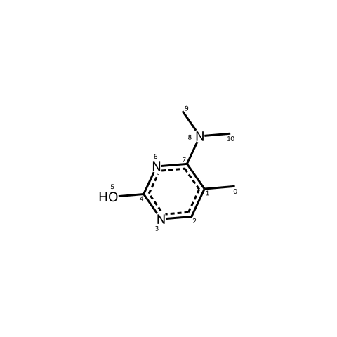 Cc1cnc(O)nc1N(C)C